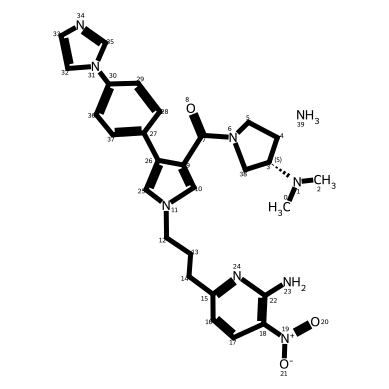 CN(C)[C@H]1CCN(C(=O)c2cn(CCCc3ccc([N+](=O)[O-])c(N)n3)cc2-c2ccc(-n3ccnc3)cc2)C1.N